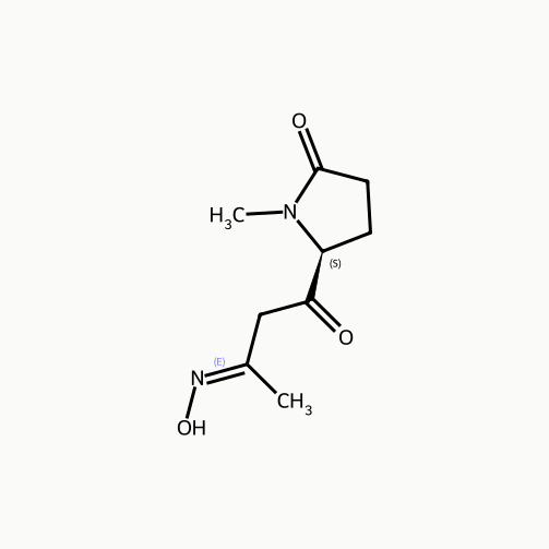 C/C(CC(=O)[C@@H]1CCC(=O)N1C)=N\O